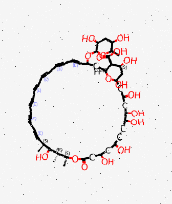 CC1OC(OC2/C=C/C=C/C=C/C=C/C=C/C=C/C=C/[C@H](C)C(O)[C@@H](C)[C@H](C)OC(=O)CC(O)CC(O)CCC(O)C(O)CC(O)CC3(O)C[C@H](O)C(C(=O)O)[C@H](C2)O3)C(O)CC1O